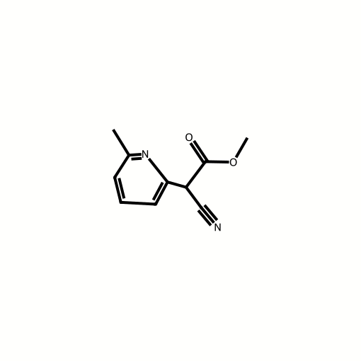 COC(=O)C(C#N)c1cccc(C)n1